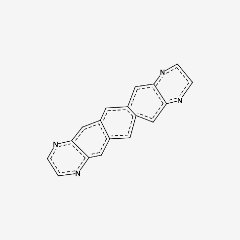 c1cnc2cc3cc4cc5nccnc5cc4cc3cc2n1